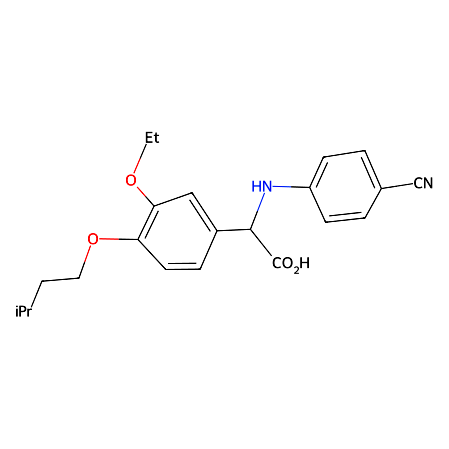 CCOc1cc(C(Nc2ccc(C#N)cc2)C(=O)O)ccc1OCCC(C)C